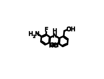 Nc1ccc(O)c(Nc2c(O)cccc2CO)c1F